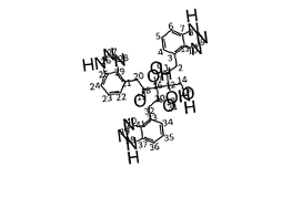 O=C(Cc1cccc2[nH]nnc12)C(O)(CO)C(O)(C(=O)Cc1cccc2[nH]nnc12)C(=O)Cc1cccc2[nH]nnc12